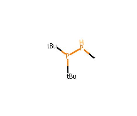 CPP(C(C)(C)C)C(C)(C)C